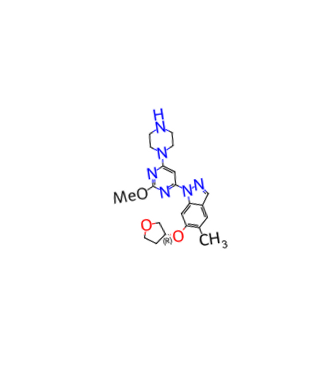 COc1nc(N2CCNCC2)cc(-n2ncc3cc(C)c(O[C@@H]4CCOC4)cc32)n1